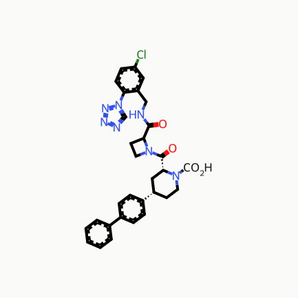 O=C(NCc1cc(Cl)ccc1-n1cnnn1)C1CCN1C(=O)[C@H]1C[C@@H](c2ccc(-c3ccccc3)cc2)CCN1C(=O)O